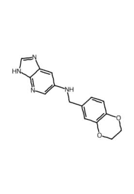 c1nc2cc(NCc3ccc4c(c3)OCCO4)cnc2[nH]1